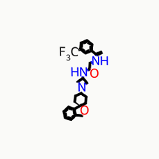 C=C(NCC(=O)NC1CN([C@H]2CC[C@@]3(CC2)OCc2ccccc23)C1)c1cccc(C(F)(F)F)c1